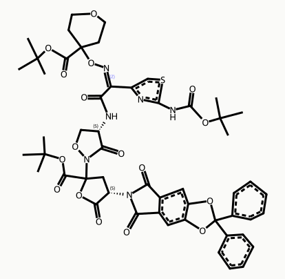 CC(C)(C)OC(=O)Nc1nc(/C(=N/OC2(C(=O)OC(C)(C)C)CCOCC2)C(=O)N[C@H]2CON(C3(C(=O)OC(C)(C)C)C[C@H](N4C(=O)c5cc6c(cc5C4=O)OC(c4ccccc4)(c4ccccc4)O6)C(=O)O3)C2=O)cs1